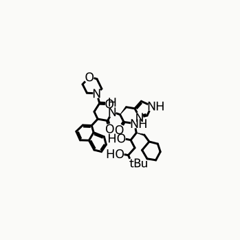 CC(C)(C)C(O)CC(O)[C@H](CC1CCCCC1)NC(=O)[C@H](Cc1c[nH]cn1)NC(=O)C(CC(=O)N1CCOCC1)c1cccc2ccccc12